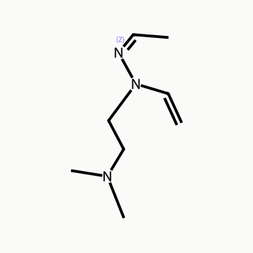 C=CN(CCN(C)C)/N=C\C